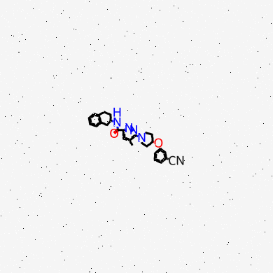 Cc1cc(C(=O)NC2CCc3ccccc3C2)nnc1N1CCC(Oc2cccc(C#N)c2)CC1